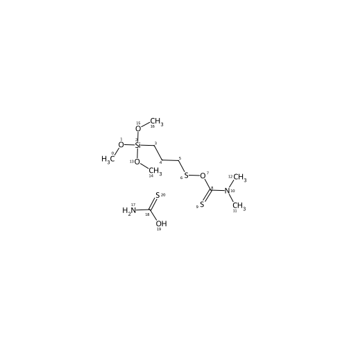 CO[Si](CCCSOC(=S)N(C)C)(OC)OC.NC(O)=S